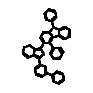 c1cccc(-c2c(-c3oc(-c4cccc(-c5ccccc5)c4)c4c3CCC=C4)ccc3c2c2ccccc2n3-c2ccccc2)c#1